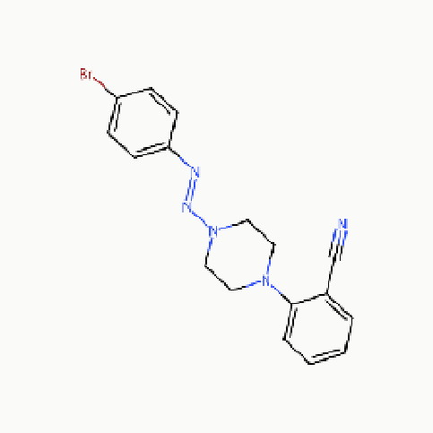 N#Cc1ccccc1N1CCN(N=Nc2ccc(Br)cc2)CC1